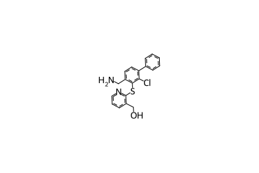 NCc1ccc(-c2ccccc2)c(Cl)c1Sc1ncccc1CO